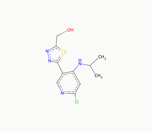 CC(C)Nc1cc(Cl)ncc1-c1nnc(CO)s1